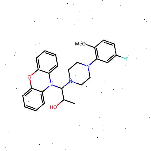 COc1ccc(F)cc1N1CCN(C(C(C)O)N2c3ccccc3Oc3ccccc32)CC1